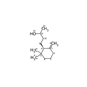 C=C1CCCC(C)(C)[C@H]1CCC(C)O